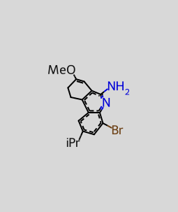 COC1=Cc2c(N)nc3c(Br)cc(C(C)C)cc3c2CC1